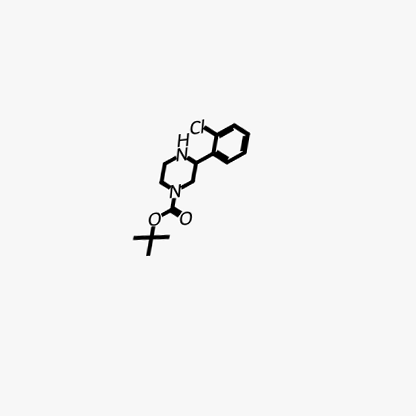 CC(C)(C)OC(=O)N1CCNC(c2ccccc2Cl)C1